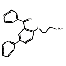 C[N]CCOc1ccc(-c2ccccc2)cc1C(=O)c1ccccc1